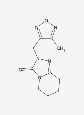 Cc1nonc1Cn1nc2n(c1=O)CCCC2